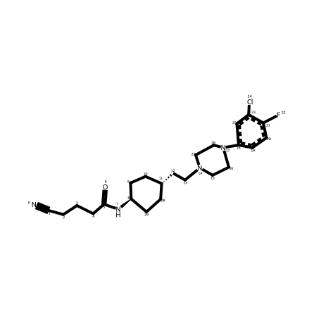 N#CCCCC(=O)N[C@H]1CC[C@H](CCN2CCN(c3ccc(F)c(Cl)c3)CC2)CC1